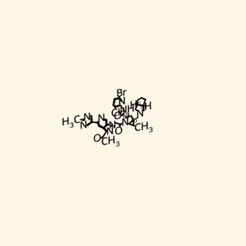 CC(=O)c1nn(CC(=O)N2C3C(C)[C@@]3(CN3C[C@H]4CCC[C@H]4C3)C[C@H]2C(=O)Nc2nc(Br)ccc2C)c2cnc(-c3cnc(C)nc3)cc12